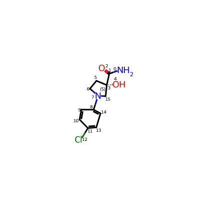 NC(=O)[C@]1(O)CCN(c2ccc(Cl)cc2)C1